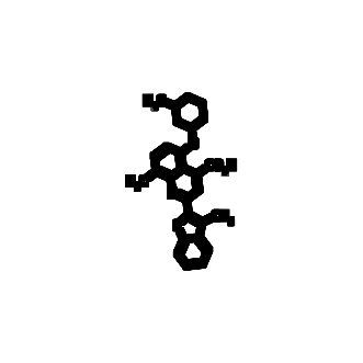 Cc1c(-c2cc(C(=O)O)c3c(OC4CCCC(C)C4)ccc(C)c3n2)sc2ccccc12